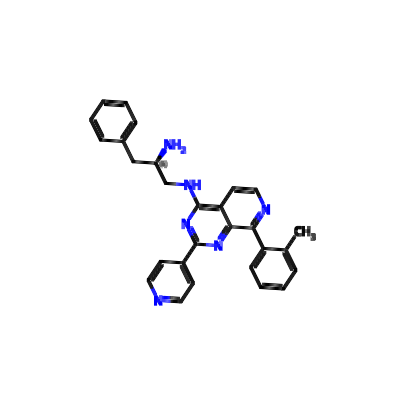 Cc1ccccc1-c1nccc2c(NC[C@H](N)Cc3ccccc3)nc(-c3ccncc3)nc12